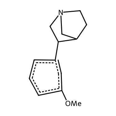 COc1cccc(C2CN3CCC2C3)c1